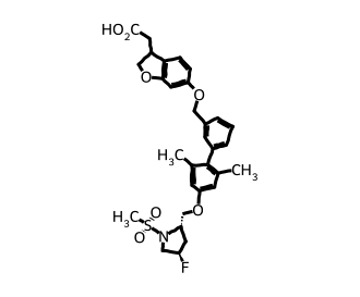 Cc1cc(OC[C@@H]2C[C@@H](F)CN2S(C)(=O)=O)cc(C)c1-c1cccc(COc2ccc3c(c2)OCC3CC(=O)O)c1